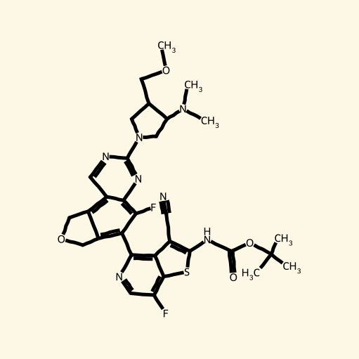 COCC1CN(c2ncc3c4c(c(-c5ncc(F)c6sc(NC(=O)OC(C)(C)C)c(C#N)c56)c(F)c3n2)COC4)CC1N(C)C